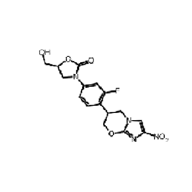 O=C1OC(CO)CN1c1ccc(C2COc3nc([N+](=O)[O-])cn3C2)c(F)c1